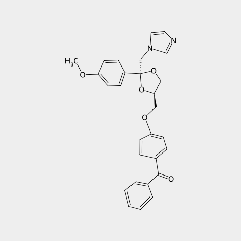 COc1ccc([C@@]2(Cn3ccnc3)OC[C@@H](COc3ccc(C(=O)c4ccccc4)cc3)O2)cc1